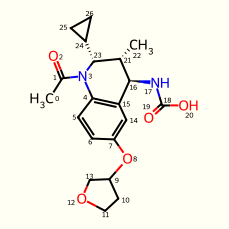 CC(=O)N1c2ccc(OC3CCOC3)cc2[C@H](NC(=O)O)[C@@H](C)[C@H]1C1CC1